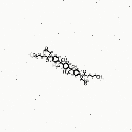 CCCCNC(=O)N(CC1CO1)c1ccc(C(C)(C)c2ccc(C(C)(C)c3ccc(N(CC4CO4)C(=O)NCCCC)cc3)cc2)cc1